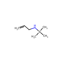 C=C[CH]N[Si](C)(C)C